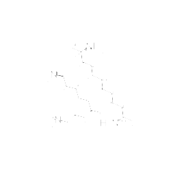 CC(CCCN)CCCCCN.CC(N)CCCCCCCCC(C)N